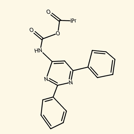 CC(C)C(=O)OC(=O)Nc1cc(-c2ccccc2)nc(-c2ccccc2)n1